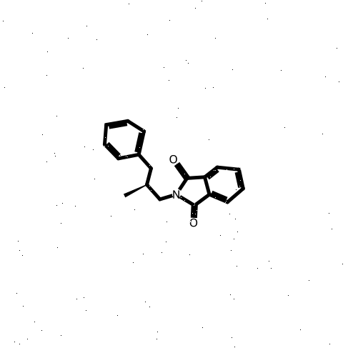 C[C@@H](Cc1ccccc1)CN1C(=O)c2ccccc2C1=O